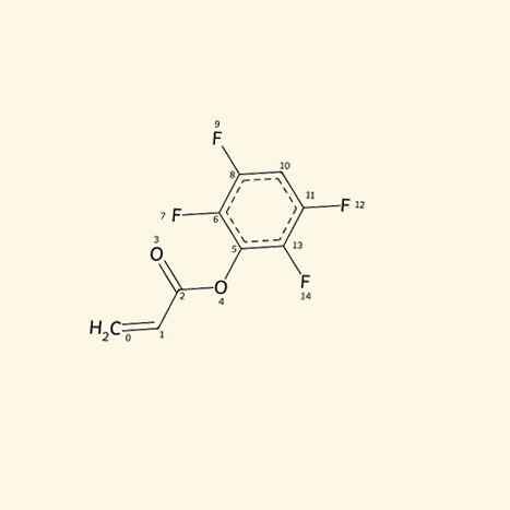 C=CC(=O)Oc1c(F)c(F)cc(F)c1F